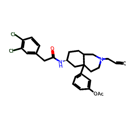 C=CCN1CCC2(c3cccc(OC(C)=O)c3)C[C@H](NC(=O)Cc3ccc(Cl)c(Cl)c3)CCC2C1